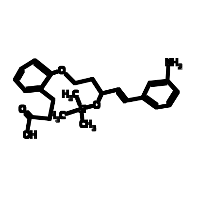 C[Si](C)(C)OC(C=Cc1cccc(N)c1)CCOc1ccccc1CCC(=O)O